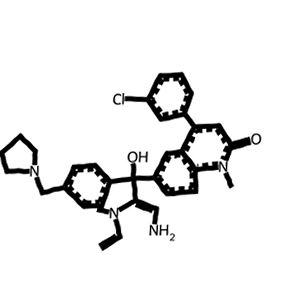 C=CN(C)/C(=C\N)C(O)(c1ccc(CN2CCCC2)cc1)c1ccc2c(c1)c(-c1cccc(Cl)c1)cc(=O)n2C